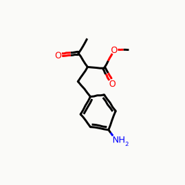 COC(=O)C(Cc1ccc(N)cc1)C(C)=O